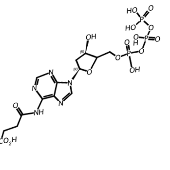 O=C(O)CCC(=O)Nc1ncnc2c1ncn2[C@H]1C[C@@H](O)C(COP(=O)(O)OP(=O)(O)OP(=O)(O)O)O1